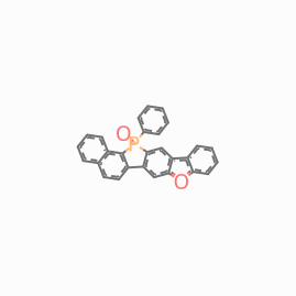 O=P1(c2ccccc2)c2cc3c(cc2-c2ccc4ccccc4c21)oc1ccccc13